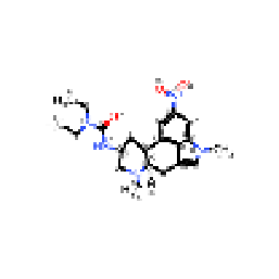 CCN(CC)C(=O)N[C@H]1CC2c3cc([N+](=O)[O-])cc4c3c(cn4C)C[C@H]2N(C)C1